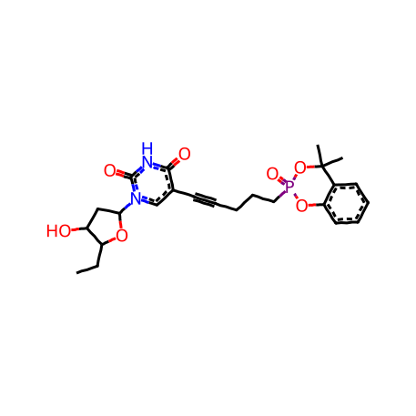 CCC1OC(n2cc(C#CCCCP3(=O)Oc4ccccc4C(C)(C)O3)c(=O)[nH]c2=O)CC1O